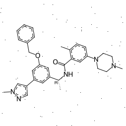 Cc1ccc(N2CCN(C)CC2)cc1C(=O)N[C@H](C)c1cc(OCc2ccccc2)cc(-c2cnn(C)c2)c1